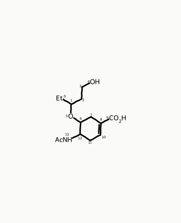 CCC(CCO)OC1CC(C(=O)O)=CCC1NC(C)=O